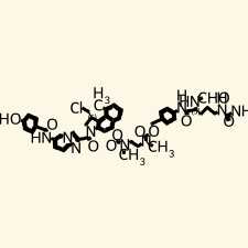 Cc1cccc2c(OC(=O)N(C)CCN(C)C(=O)OCc3ccc(NC(=O)[C@H](CCCNC(N)=O)NC=O)cc3)cc3c(c12)[C@H](CCl)CN3C(=O)c1cn2cc(NC(=O)c3ccc(O)cc3)ccc2n1